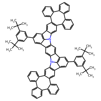 CC(C)(C)c1cc(-c2cc3c4cc5c(cc4n4c6cc7c8cc(-c9cc(C(C)(C)C)cc(C(C)(C)C)c9)cc9c%10cc%11c(cc%10n(c7cc6c(c2)c34)c98)-c2ccccc2-c2ccccc2-c2ccccc2-%11)-c2ccccc2-c2ccccc2-c2ccccc2-5)cc(C(C)(C)C)c1